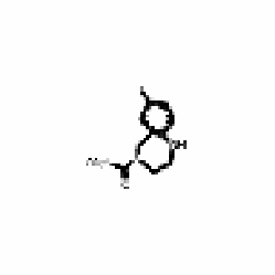 CNC(=O)N1CCNc2ccc(I)cc2C1